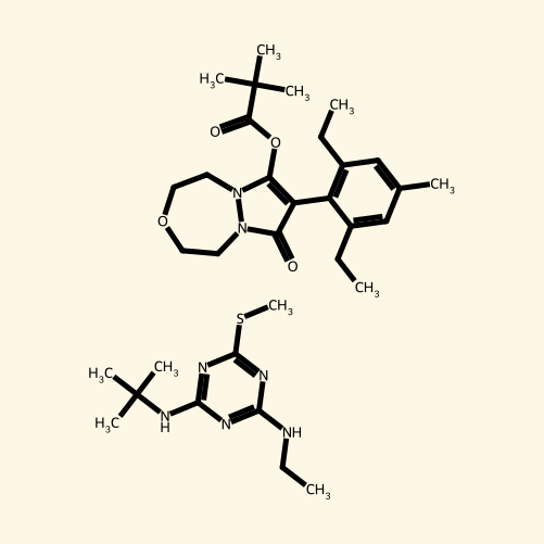 CCNc1nc(NC(C)(C)C)nc(SC)n1.CCc1cc(C)cc(CC)c1-c1c(OC(=O)C(C)(C)C)n2n(c1=O)CCOCC2